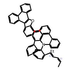 C/C=C\C=C(/CC)c1ccccc1N(C1=C=C=CC=C1c1cccc(-c2cccc3c2oc2c4ccccc4c4ccccc4c32)c1)c1ccccc1-c1ccccc1